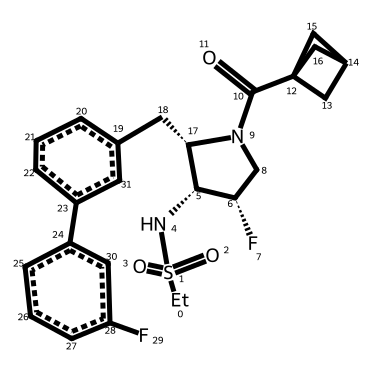 CCS(=O)(=O)N[C@H]1[C@@H](F)CN(C(=O)C23CC(C2)C3)[C@H]1Cc1cccc(-c2cccc(F)c2)c1